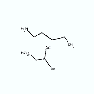 CC(=O)C(CC(=O)O)C(C)=O.NCCCCN